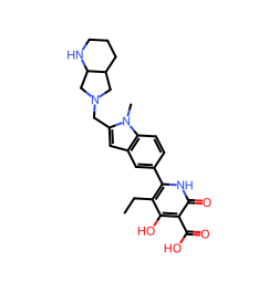 CCc1c(-c2ccc3c(c2)cc(CN2CC4CCCNC4C2)n3C)[nH]c(=O)c(C(=O)O)c1O